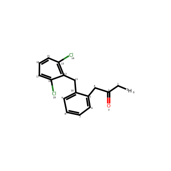 [3H]CC(=O)Cc1ccccc1Cc1c(Cl)cccc1Cl